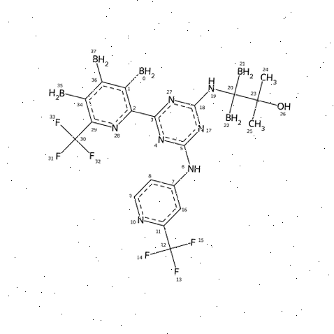 Bc1c(-c2nc(Nc3ccnc(C(F)(F)F)c3)nc(NC(B)(B)C(C)(C)O)n2)nc(C(F)(F)F)c(B)c1B